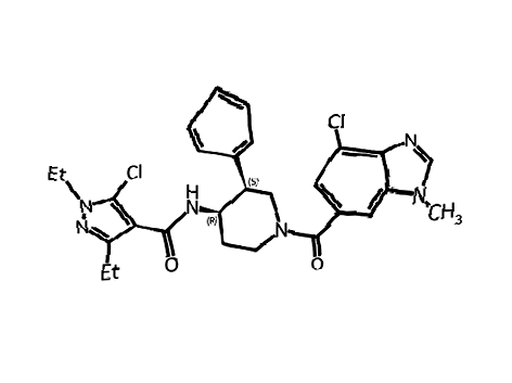 CCc1nn(CC)c(Cl)c1C(=O)N[C@@H]1CCN(C(=O)c2cc(Cl)c3ncn(C)c3c2)C[C@@H]1c1ccccc1